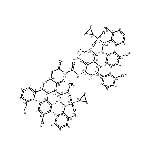 O=C(C[C@@H]1O[C@H](c2cccc(Cl)c2)[C@@H](c2ccc(Cl)cc2)N([C@@H](CN(c2ccccc2F)S(=O)(=O)C2CC2)CC(F)(F)F)C1=O)OC(=O)C[C@H]1O[C@H](c2cccc(Cl)c2)[C@@H](c2ccc(Cl)cc2)N([C@@H](CN(c2ccccc2F)S(=O)(=O)C2CC2)CC(F)(F)F)C1=O